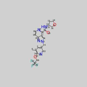 Cc1cc(Cn2cc3c(C(=O)N[C@H]4CCOC4)nccc3n2)cnc1OCC(F)(F)F